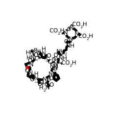 CCCCNC(=O)N[C@H]1CSC2=C(SC[C@@H](C(=O)N[C@@H](CC(=O)O)C(=O)N[C@@H](CCCCNC(=O)CN3CCN(CC(=O)O)CCN(CC(=O)O)CCN(CC(=O)O)CC3)C(N)=O)NC(=O)[C@H](Cc3ccccc3)NC(=O)[C@H](CCC(N)=O)NC(=O)[C@H]([C@@H](C)O)NC(=O)[C@@H]3CCCN3C(=O)[C@@H]3CCCN3C1=O)C(=O)NC2=O